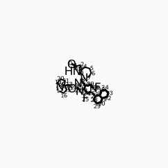 O=C1CC2(CCCCN(c3nc(OCC45CCCN4CCC5)nc4c(F)c(-c5cccc6cccc(F)c56)ncc34)C2)N1